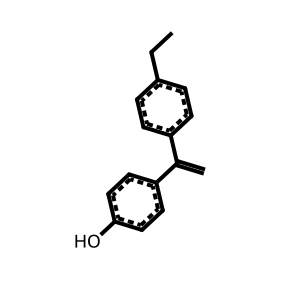 C=C(c1ccc(O)cc1)c1ccc(CC)cc1